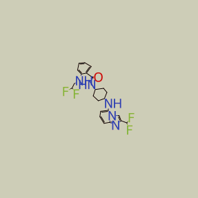 O=C(NC1CCC(Nc2cccc3nc(C(F)F)cn23)CC1)c1ccccc1NCC(F)F